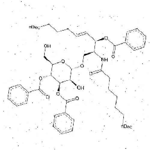 CCCCCCCCCCCCC/C=C/[C@@H](OC(=O)c1ccccc1)[C@H](CO[C@H]1O[C@H](CO)[C@@H](OC(=O)c2ccccc2)[C@H](OC(=O)c2ccccc2)[C@@H]1O)NC(=O)CCCCCCCCCCCCCCC